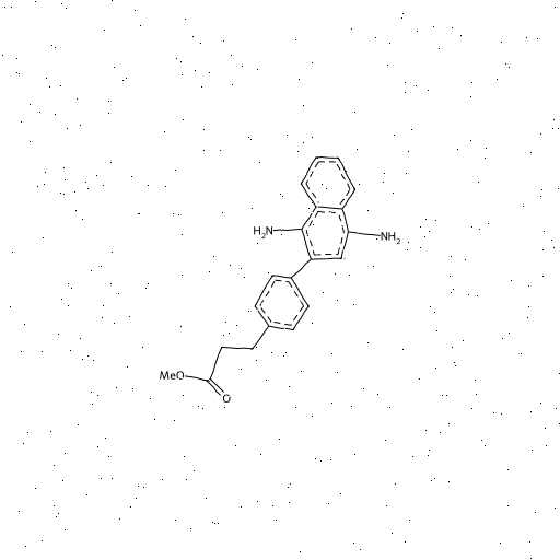 COC(=O)CCc1ccc(-c2[c]c(N)c3ccccc3c2N)cc1